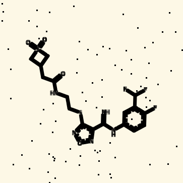 N=C(Nc1ccc(F)c(C(F)F)c1)c1nonc1SCCNC(=O)CC1CS(=O)(=O)C1